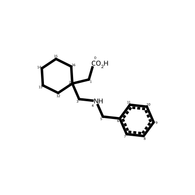 O=C(O)CC1(CNCc2ccccc2)CCCCC1